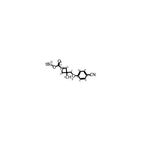 CC1(COc2ccc(C#N)cc2)CN(C(=O)OC(C)(C)C)C1